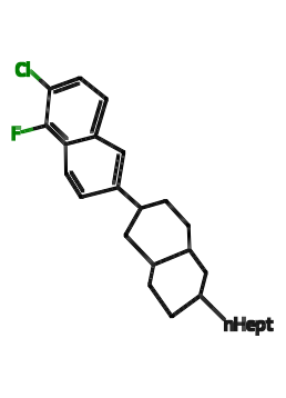 CCCCCCCC1CCC2CC(c3ccc4c(F)c(Cl)ccc4c3)CCC2C1